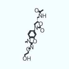 CC(=O)NC[C@H]1CN(c2ccc3c(c2)oc(=NOCCO)n3C)C(=O)O1